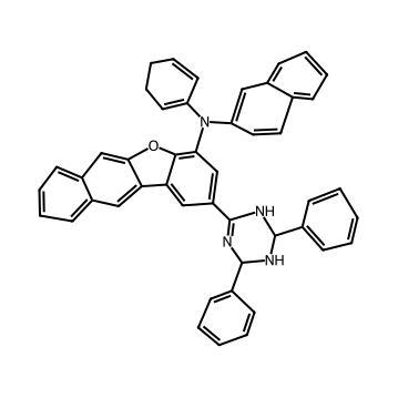 C1=CC(N(c2ccc3ccccc3c2)c2cc(C3=NC(c4ccccc4)NC(c4ccccc4)N3)cc3c2oc2cc4ccccc4cc23)=CCC1